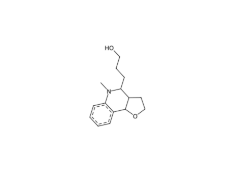 CN1c2ccccc2C2OCCC2C1CCCO